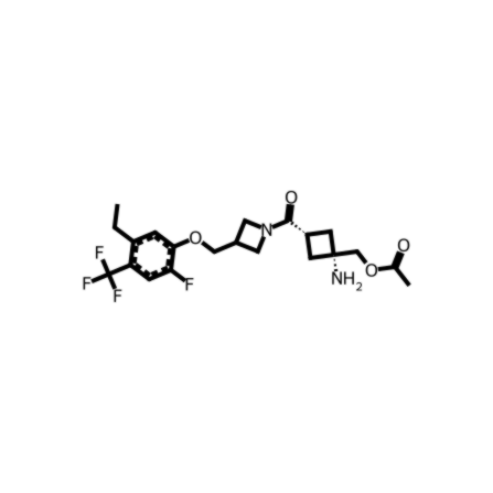 CCc1cc(OCC2CN(C(=O)[C@H]3C[C@](N)(COC(C)=O)C3)C2)c(F)cc1C(F)(F)F